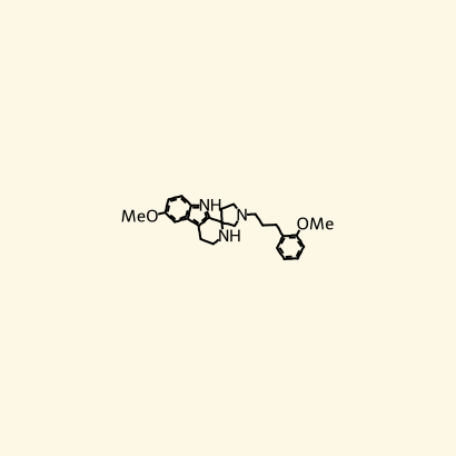 COc1ccc2[nH]c3c(c2c1)CCNC31CCN(CCCc2ccccc2OC)C1